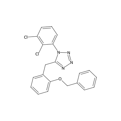 Clc1cccc(-n2nnnc2Cc2ccccc2OCc2ccccc2)c1Cl